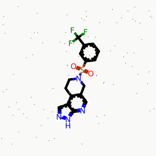 O=S(=O)(c1cccc(C(F)(F)F)c1)N1CCc2c(cnc3[nH]ncc23)C1